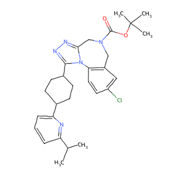 CC(C)c1cccc(C2CCC(c3nnc4n3-c3ccc(Cl)cc3CN(C(=O)OC(C)(C)C)C4)CC2)n1